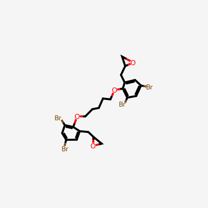 Brc1cc(Br)c(OCCCCCOc2c(Br)cc(Br)cc2CC2CO2)c(CC2CO2)c1